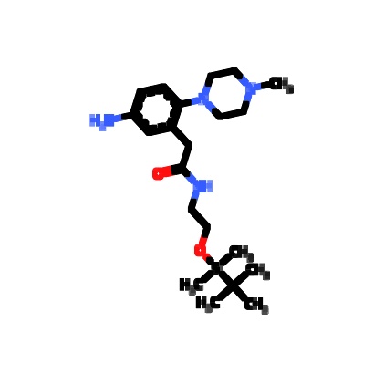 CN1CCN(c2ccc(N)cc2CC(=O)NCCO[Si](C)(C)C(C)(C)C)CC1